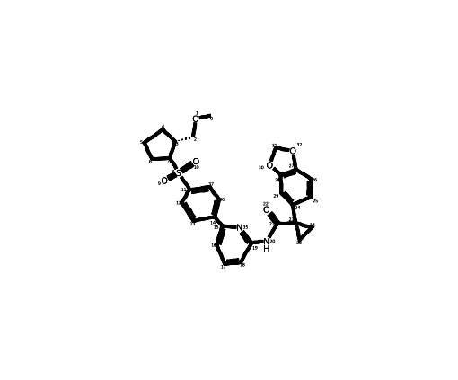 COC[C@H]1CCCC1S(=O)(=O)c1ccc(-c2cccc(NC(=O)C3(c4ccc5c(c4)OCO5)CC3)n2)cc1